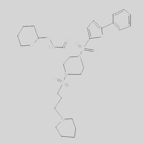 O=C(NOC1CCCCO1)[C@H]1CN(S(=O)(=O)CCCN2CCCCC2)CCN1S(=O)(=O)c1ccc(-c2ccccc2)s1